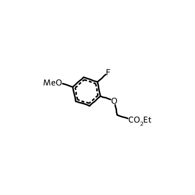 CCOC(=O)COc1ccc(OC)cc1F